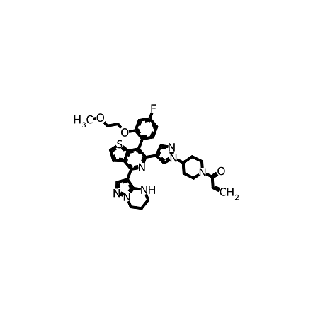 C=CC(=O)N1CCC(n2cc(-c3nc(-c4cnn5c4NCCC5)c4ccsc4c3-c3ccc(F)cc3OCCOC)cn2)CC1